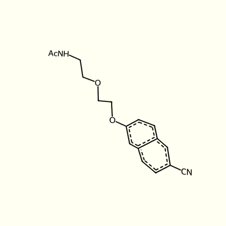 CC(=O)NCCOCCOc1ccc2cc(C#N)ccc2c1